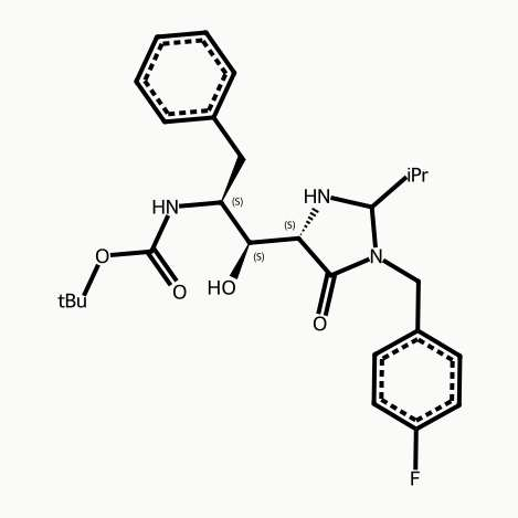 CC(C)C1N[C@@H]([C@@H](O)[C@H](Cc2ccccc2)NC(=O)OC(C)(C)C)C(=O)N1Cc1ccc(F)cc1